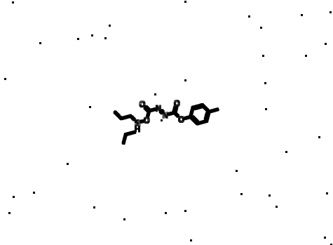 CCC[SiH](CCC)OC(=O)N=NC(=O)Oc1ccc(C)cc1